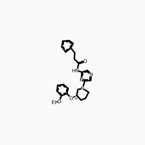 CCOc1ccccc1O[C@@H]1CCCN(c2cncc(NC(=O)CCc3ccccc3)n2)C1